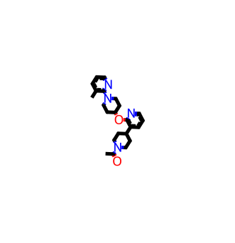 CC(=O)N1CCC(c2cccnc2OC2CCN(c3ncccc3C)CC2)CC1